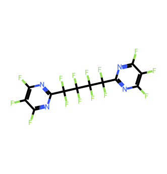 Fc1nc(C(F)(F)C(F)(F)C(F)(F)C(F)(F)c2nc(F)c(F)c(F)n2)nc(F)c1F